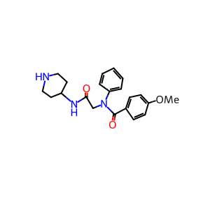 COc1ccc(C(=O)N(CC(=O)NC2CCNCC2)c2ccccc2)cc1